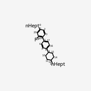 CCCCCCCc1ccc(-c2c[c]c(C3CCC(CCCCCCC)CC3)cc2)c(F)c1